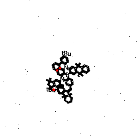 Cc1cc2c3c(c1)N(c1ccc(C(C)(C)C)cc1-c1ccccc1)c1cc4c(cc1B3c1ccc(/C=C3\c5ccc(C(C)(C)C)cc5C5(C)CCCCC35C)cc1N2c1cc2c(cc1C)C(C)(C)CC2(C)C)C(C)(C)c1ccccc1C4(C)C